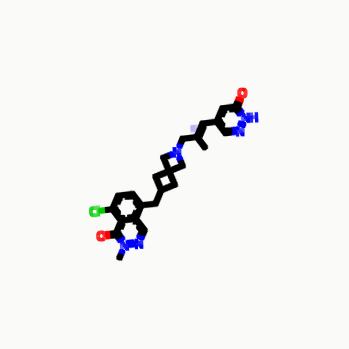 C/C(=C\c1cn[nH]c(=O)c1)CN1CC2(CC(Cc3ccc(Cl)c4c(=O)n(C)ncc34)C2)C1